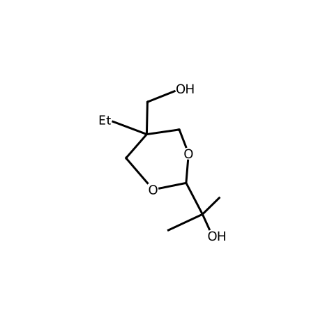 CCC1(CO)COC(C(C)(C)O)OC1